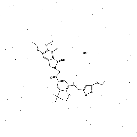 Br.CCOc1cc(CNc2cc(C(=O)CN3Cc4cc(OCC)c(OCC)c(F)c4C3=N)cc(C(C)(C)C)c2OC)on1